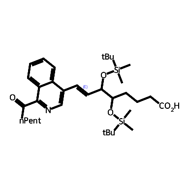 CCCCCC(=O)c1ncc(/C=C/C(O[Si](C)(C)C(C)(C)C)C(CCCC(=O)O)O[Si](C)(C)C(C)(C)C)c2ccccc12